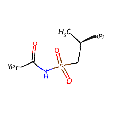 CC(C)C(=O)NS(=O)(=O)C[C@@H](C)C(C)C